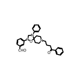 O=Cc1cccc(N2CN(c3ccccc3)C3(CCN(CCCC(=O)c4ccccc4)CC3)O2)c1